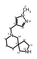 Cn1cc(CN2CCCC3(CCNC3)C2)cn1